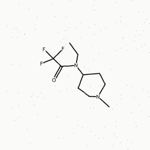 CCN(C(=O)C(F)(F)F)C1CCN(C)CC1